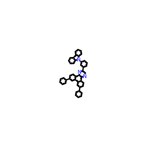 c1ccc(-c2ccc3c(c2)c2cc(-c4ccccc4)ccc2c2nc(-c4cccc(-n5c6ccccc6c6ccccc65)c4)cnc32)cc1